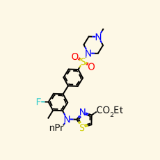 CCCN(c1nc(C(=O)OCC)cs1)c1cc(-c2ccc(S(=O)(=O)N3CCN(C)CC3)cc2)cc(F)c1C